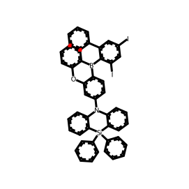 Ic1cc(I)c(B2c3ccccc3Oc3cc(N4c5ccccc5[Si](c5ccccc5)(c5ccccc5)c5ccccc54)ccc32)c(-c2ccccc2)c1